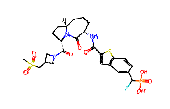 CS(=O)(=O)CC1CN(C(=O)[C@@H]2CC[C@@H]3CCC[C@H](NC(=O)c4cc5cc(C(F)P(=O)(O)O)ccc5s4)C(=O)N32)C1